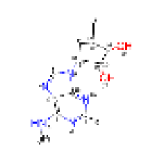 Cc1nc(NC(C)C)c2ncn([C@@H]3C[C@@H](C)C(O)[C@@H]3O)c2n1